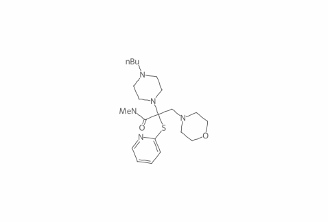 CCCCN1CCN(C(CN2CCOCC2)(Sc2ccccn2)C(=O)NC)CC1